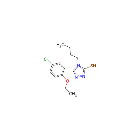 CCCCn1cnnc1S.CCOc1ccc(Cl)cc1